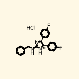 Cl.Fc1ccc([C@H]2NC(NCc3ccccc3)=N[C@H]2c2ccc(F)cc2)cc1